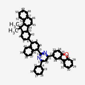 CC1(C)c2ccc(-c3ccc(-c4nc(-c5ccccc5)cc(-c5ccc6oc7ccccc7c6c5)n4)c4ccccc34)cc2-c2ccc3ccccc3c21